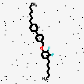 CCCCCCc1ccc(-c2ccc(COc3ccc(CCCCCC)c(F)c3F)cc2)cc1